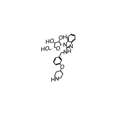 OC[C@H]1O[C@@H](n2c(NCc3cccc(OC4CCNCC4)c3)nc3ccccc32)[C@H](O)[C@@H]1O